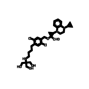 O=CC1(OCc2cc(Cl)c(CCCCNC(CO)(CO)CO)cc2Cl)CC1N1CCN(C2CC2)c2ccccc21